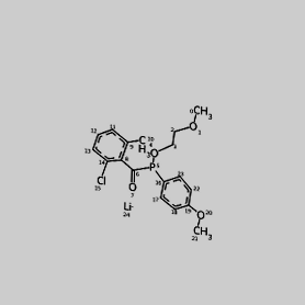 COCCOP(C(=O)c1c(C)cccc1Cl)c1ccc(OC)cc1.[Li]